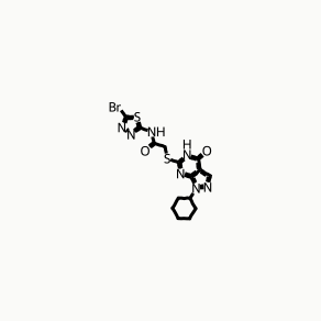 O=C(CSc1nc2c(cnn2C2CCCCC2)c(=O)[nH]1)Nc1nnc(Br)s1